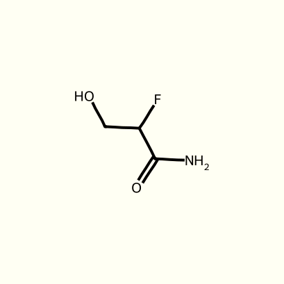 NC(=O)C(F)CO